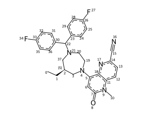 CC[C@@H]1CN(c2cc(=O)n(C)c3ccc(C#N)nc23)CCN(C(c2ccc(F)cc2)c2ccc(F)cc2)C1